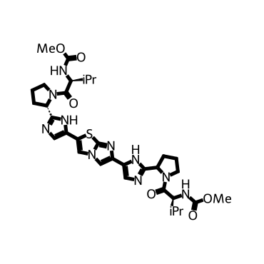 COC(=O)N[C@H](C(=O)N1CCCC1c1ncc(-c2cn3cc(-c4cnc([C@@H]5CCCN5C(=O)[C@@H](NC(=O)OC)C(C)C)[nH]4)sc3n2)[nH]1)C(C)C